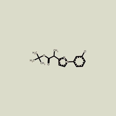 CC(C(=O)OC(C)(C)C)c1ccn(-c2cccc(Cl)c2)n1